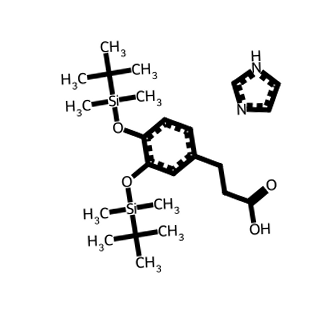 CC(C)(C)[Si](C)(C)Oc1ccc(CCC(=O)O)cc1O[Si](C)(C)C(C)(C)C.c1c[nH]cn1